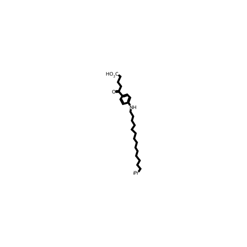 CC(C)CCCCCCCCCCCCCCNc1ccc(C(=O)CCCC(=O)O)cc1